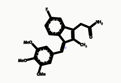 COc1cc(/C=C2/C(C)=C(CC(N)=O)c3cc(F)ccc32)cc(OC)c1OC